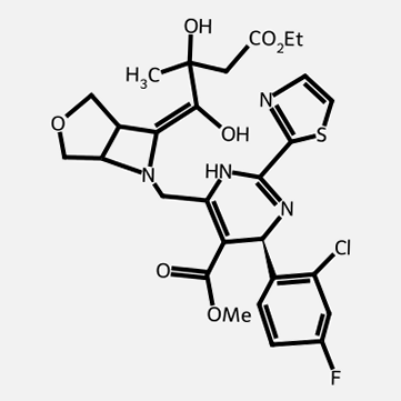 CCOC(=O)CC(C)(O)/C(O)=C1\C2COCC2N1CC1=C(C(=O)OC)[C@H](c2ccc(F)cc2Cl)N=C(c2nccs2)N1